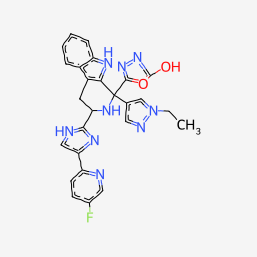 CCn1cc(C2(c3nnc(O)o3)NC(c3nc(-c4ccc(F)cn4)c[nH]3)Cc3c2[nH]c2ccccc32)cn1